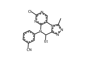 CCC1c2nnc(C)n2-c2cnc(Cl)nc2N1c1cccc(C#N)c1